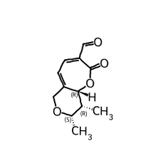 C[C@@H]1[C@H](C)OCC2=CC=C(C=O)C(=O)O[C@@H]21